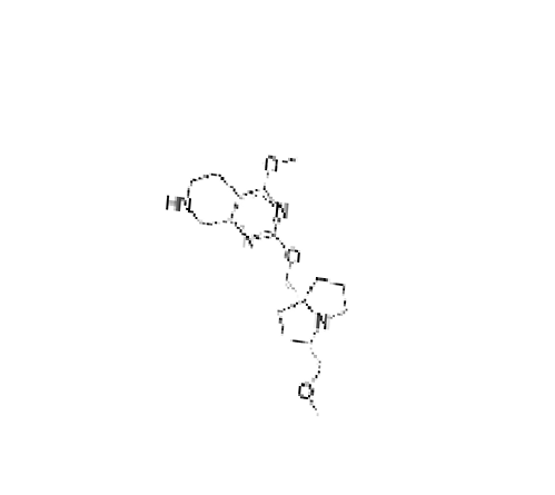 COC[C@@H]1CC[C@@]2(COc3nc4c(c(OC)n3)CCNC4)CCCN12